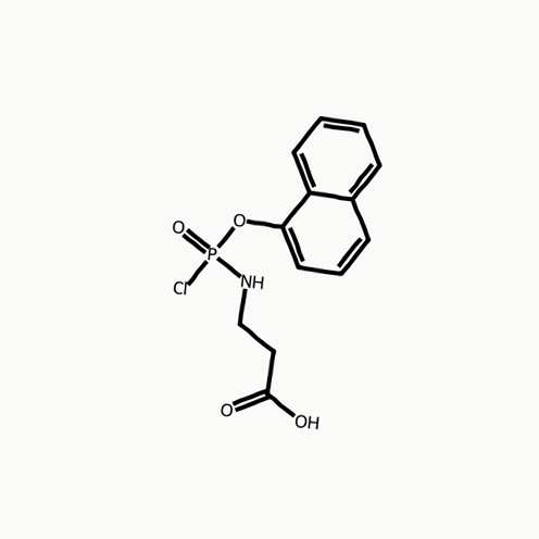 O=C(O)CCNP(=O)(Cl)Oc1cccc2ccccc12